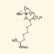 CCCCCC[C@@H](O)CCCCC[C@@H](O[Si](C)(C)C(C)(C)C)C(=O)O